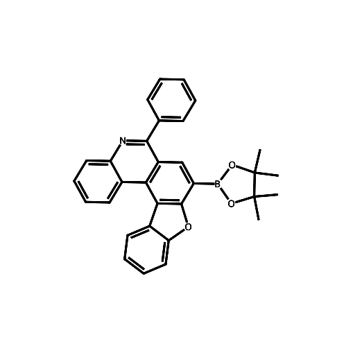 CC1(C)OB(c2cc3c(-c4ccccc4)nc4ccccc4c3c3c2oc2ccccc23)OC1(C)C